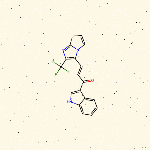 O=C(/C=C/c1c(C(F)(F)F)nc2sccn12)c1c[nH]c2ccccc12